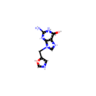 Nc1nc2c(ncn2Cc2cnco2)c(=O)[nH]1